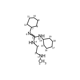 CNCCN/C(=N/C1CCCCC1)NC1CCCCC1